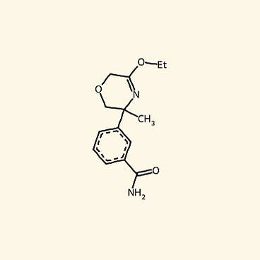 CCOC1=NC(C)(c2cccc(C(N)=O)c2)COC1